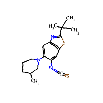 CC1CCCN(c2cc3nc(C(C)(C)C)sc3cc2N=C=S)C1